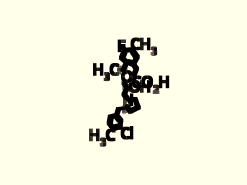 Cc1cc(CCC(=O)O)c([C@@H](C)OC[C@H](O)CN2CCC[C@H]2Cc2ccc(C)c(Cl)c2)cc1F